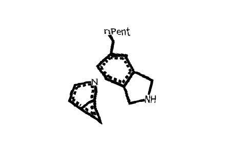 CCCCCc1ccc2c(c1)CNC2.c1cc2cc-2n1